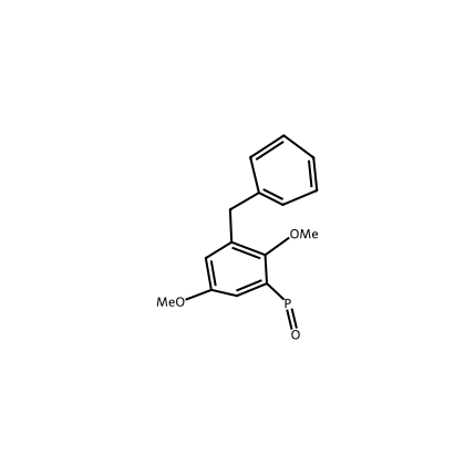 COc1cc(Cc2ccccc2)c(OC)c(P=O)c1